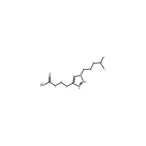 CC(I)CCCn1cc(CCCC(=O)O)nn1